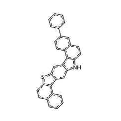 c1ccc(-c2ccc3c(ccc4[nH]c5cc6c(cc5c43)sc3ccc4ccccc4c36)c2)cc1